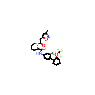 Cc1cc(CC(=O)N2CCCCC2C(=O)Nc2ccc(-c3ccccc3OC(F)(F)F)c(Cl)c2)on1